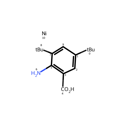 CC(C)(C)c1cc(C(=O)O)c(N)c(C(C)(C)C)c1.[Ni]